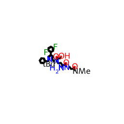 CNC(=O)CCNC(=O)C(N)CCN(C(=O)CO)[C@@H](c1cc(-c2cc(F)ccc2F)cn1Cc1ccccc1)C(C)(C)C